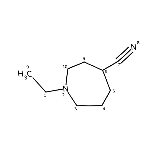 CCN1CCCC(C#N)CC1